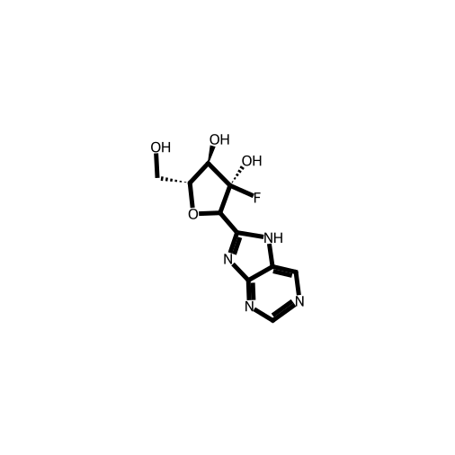 OC[C@H]1OC(c2nc3ncncc3[nH]2)[C@](O)(F)[C@@H]1O